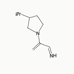 C=C(C=N)N1CCC(C(C)C)C1